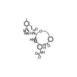 COC(=O)Nc1ccc2c(c1)NC(=O)c1cccc(c1)CCCOC[C@H](NC(=O)/C=C/c1cc(C)ccc1-n1cnnn1)c1nc-2c[nH]1